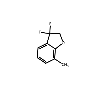 Cc1cccc2c1OCC2(F)F